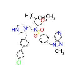 CCOC[C@H](CC(C)C)N(CCN1CCNC[C@H]1Cc1ccc(-c2ccc(Cl)cc2)cc1)S(=O)(=O)c1ccc(Cn2c(C)nc3cnccc32)cc1